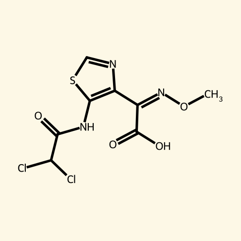 CON=C(C(=O)O)c1ncsc1NC(=O)C(Cl)Cl